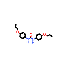 C=CCOc1ccc(NC(=O)Nc2ccc(OCC=C)cc2)cc1